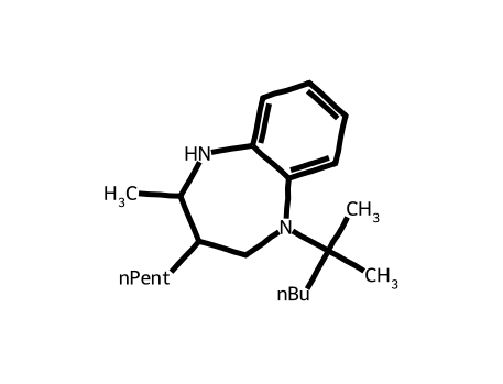 CCCCCC1CN(C(C)(C)CCCC)c2ccccc2NC1C